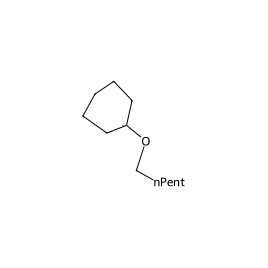 CCCCCCO[C]1CCCCC1